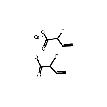 C=CC(F)C(=O)[O-].C=CC(F)C(=O)[O-].[Ca+2]